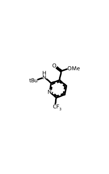 COC(=O)c1ccc(C(F)(F)F)nc1NC(C)(C)C